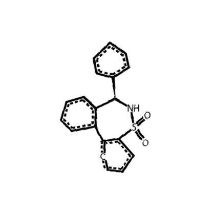 O=S1(=O)N[C@H](c2ccccc2)c2ccccc2-c2ccccc21